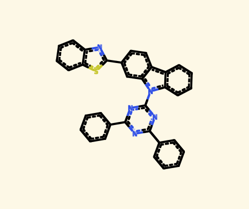 c1ccc(-c2nc(-c3ccccc3)nc(-n3c4ccccc4c4ccc(-c5nc6ccccc6s5)cc43)n2)cc1